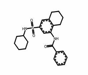 O=C(Nc1cc(S(=O)(=O)NC2CCCCC2)cc2c1CCCC2)c1ccccc1